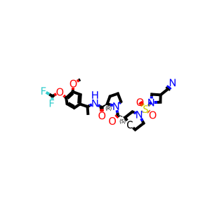 COc1cc(C(C)NC(=O)[C@H]2CCCN2C(=O)[C@H]2CCCN(S(=O)(=O)N3CC(C#N)C3)C2)ccc1OC(F)F